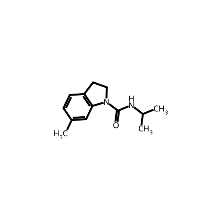 Cc1ccc2c(c1)N(C(=O)NC(C)C)CC2